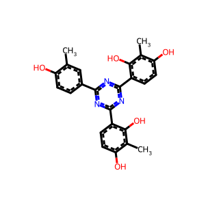 Cc1cc(-c2nc(-c3ccc(O)c(C)c3O)nc(-c3ccc(O)c(C)c3O)n2)ccc1O